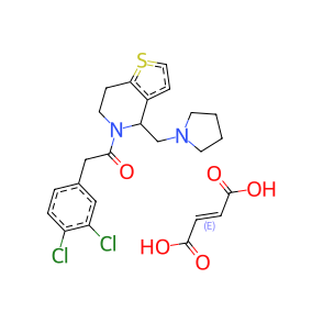 O=C(Cc1ccc(Cl)c(Cl)c1)N1CCc2sccc2C1CN1CCCC1.O=C(O)/C=C/C(=O)O